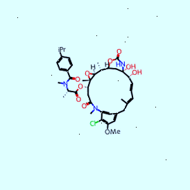 COc1cc2cc(c1Cl)N(C)C(=O)C[C@H](OC(=O)[C@H](C)N(C)C(=O)c1ccc(C(C)C)cc1)[C@]1(C)O[C@H]1[C@H](C)[C@@H]1C[C@@](O)(NC(=O)O1)[C@H](O)/C=C/C=C(\C)C2